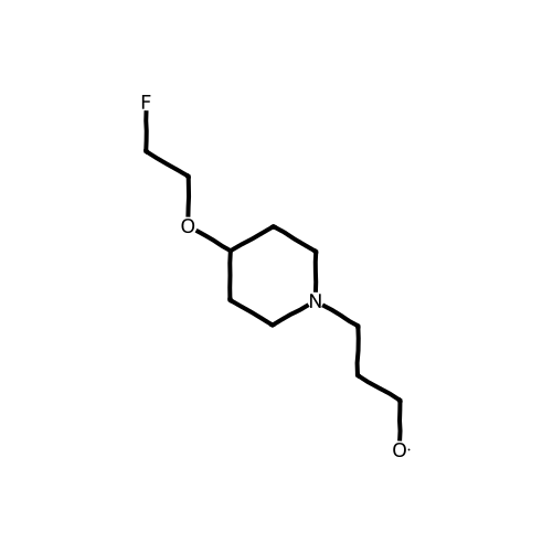 [O]CCCN1CCC(OCCF)CC1